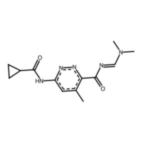 Cc1cc(NC(=O)C2CC2)nnc1C(=O)N=CN(C)C